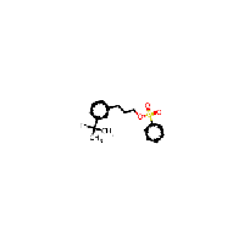 CCC(C)(C)c1cccc(CCCOS(=O)(=O)c2ccccc2)c1